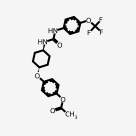 CC(=O)Oc1ccc(O[C@H]2CC[C@H](NC(=O)Nc3ccc(OC(F)(F)F)cc3)CC2)cc1